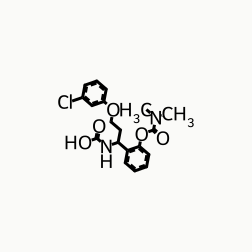 CN(C)C(=O)Oc1ccccc1C(CCOc1cccc(Cl)c1)NC(=O)O